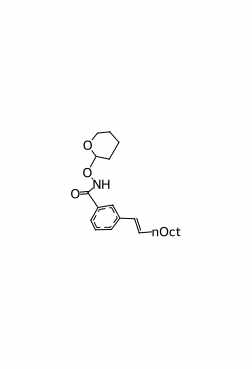 CCCCCCCCC=Cc1cccc(C(=O)NOC2CCCCO2)c1